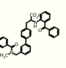 CN(Cc1cccc(-c2ccc(CC(Nc3ccccc3C(=O)c3ccccc3)C(=O)O)cc2)c1)C(=O)c1ccccc1